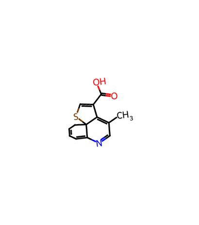 CC1=C2C(C(=O)O)=CSC23CC=CC=C3N=C1